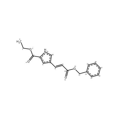 CCOC(=O)c1cc(/C=C/C(=O)OCc2ccccc2)c[nH]1